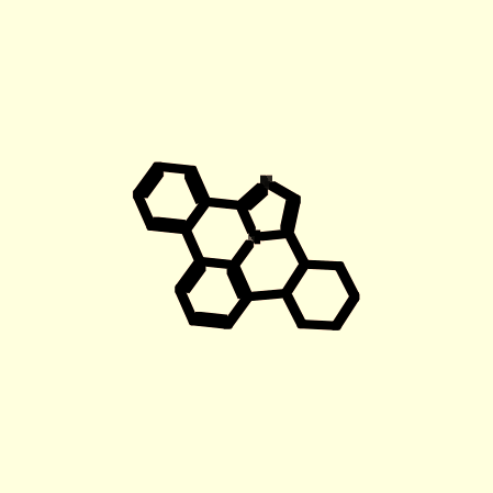 c1ccc2c(c1)c1cccc3c1n1c(cnc21)C1CCCCC31